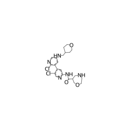 O=C(Nc1cc(-c2cc(NCC3CCOCC3)cnc2Cl)c(Cl)cn1)C1CNCCOC1